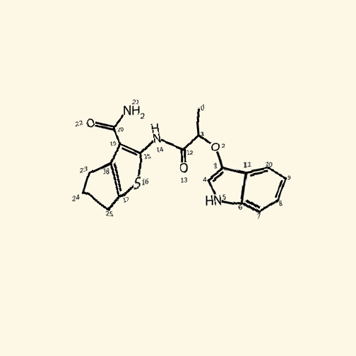 CC(Oc1c[nH]c2ccccc12)C(=O)Nc1sc2c(c1C(N)=O)CCC2